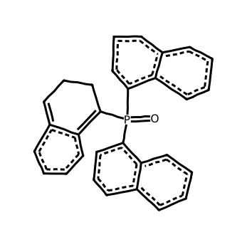 O=P(C1=c2ccccc2=CCC1)(c1cccc2ccccc12)c1cccc2ccccc12